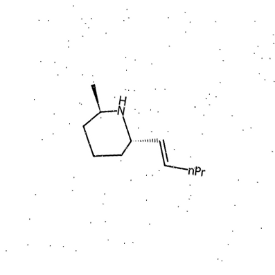 CCCC=C[C@@H]1CCC[C@@H](C)N1